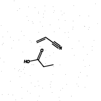 C=CC#N.CCC(=O)O